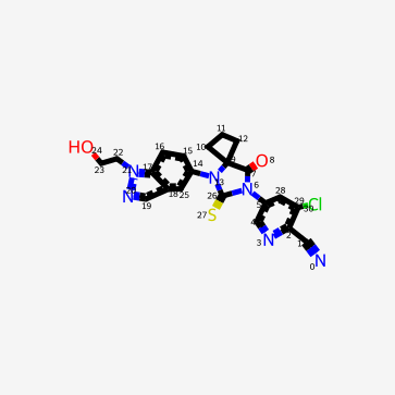 N#Cc1ncc(N2C(=O)C3(CCC3)N(c3ccc4c(cnn4CCO)c3)C2=S)cc1Cl